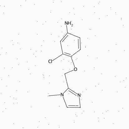 Cn1ccnc1COc1ccc(N)cc1Cl